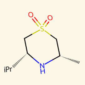 CC(C)[C@@H]1CS(=O)(=O)C[C@H](C)N1